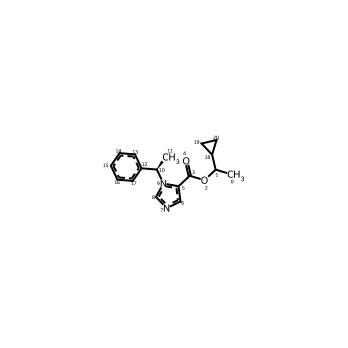 CC(OC(=O)c1cncn1[C@H](C)c1ccccc1)C1CC1